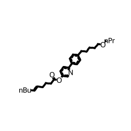 CCCCC=CCCCC(=O)Oc1ccc(-c2ccc(CCCCCOCCC)cc2)nc1